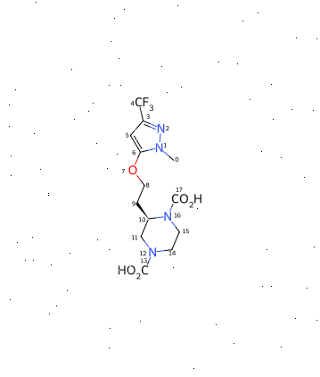 Cn1nc(C(F)(F)F)cc1OCC[C@@H]1CN(C(=O)O)CCN1C(=O)O